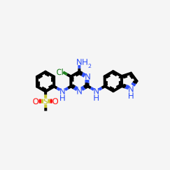 CS(=O)(=O)c1ccccc1Nc1nc(Nc2ccc3cc[nH]c3c2)nc(N)c1Cl